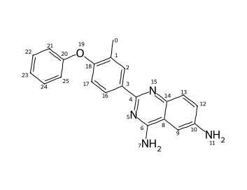 Cc1cc(-c2nc(N)c3cc(N)ccc3n2)ccc1Oc1ccccc1